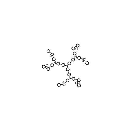 c1ccc(-c2ccc(-c3ccc(N(c4ccc(-c5ccc(N(c6ccc(-c7ccc(N(c8ccc(-c9ccc(-c%10ccccc%10)s9)cc8)c8ccc(-c9cccc%10c9oc9ccccc9%10)cc8)cc7)cc6)c6ccc(-c7ccc(N(c8ccc(-c9ccc(-c%10ccccc%10)s9)cc8)c8ccc(-c9cccc%10c9oc9ccccc9%10)cc8)cc7)cc6)cc5)cc4)c4ccc(-c5cccc6c5oc5ccccc56)cc4)cc3)s2)cc1